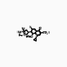 COc1c(C2C[C@H](CF)[C@](C)(N)C2)c(F)cc2c(=O)c(C(=O)O)cn(C3CC3)c12